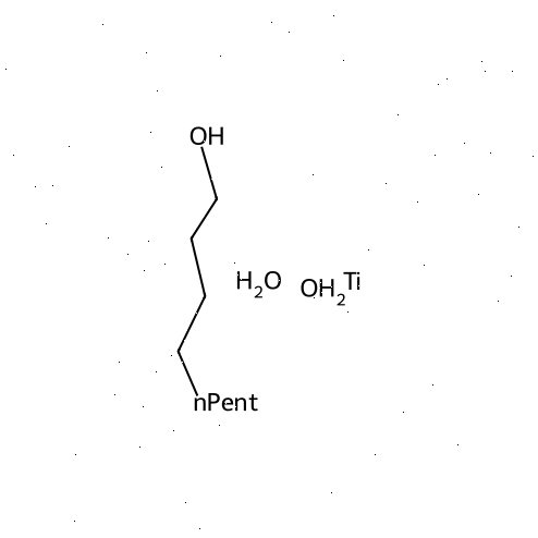 CCCCCCCCCO.O.O.[Ti]